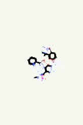 Cc1noc(-c2cnc(Nc3ccc4c(c3)C(C)(C)N(C)C4=O)cc2N[C@H](CO)c2ccccc2)n1